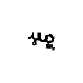 CC(C)C(=O)NCc1ccccc1N